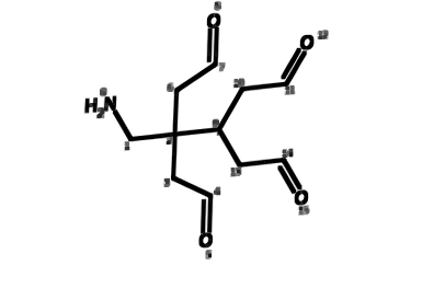 NCC(CC=O)(CC=O)[C](CC=O)CC=O